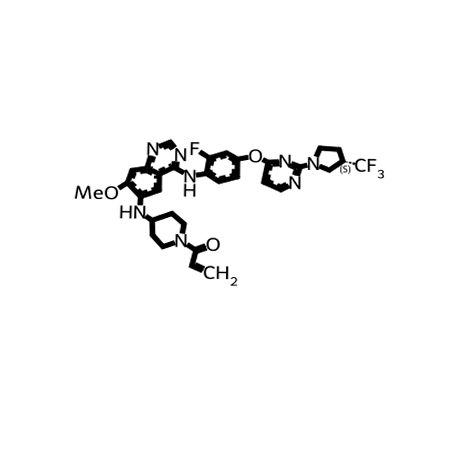 C=CC(=O)N1CCC(Nc2cc3c(Nc4ccc(Oc5ccnc(N6CC[C@H](C(F)(F)F)C6)n5)cc4F)ncnc3cc2OC)CC1